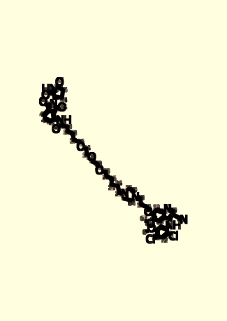 COc1cc(Nc2c(C#N)cnc3cc(OCCCN4CCN(CCCCCCOCCOCCOCCCCCC(=O)Nc5cccc6c5C(=O)N(C5CCC(=O)NC5=O)C6=O)CC4)c(OC)cc23)c(Cl)cc1Cl